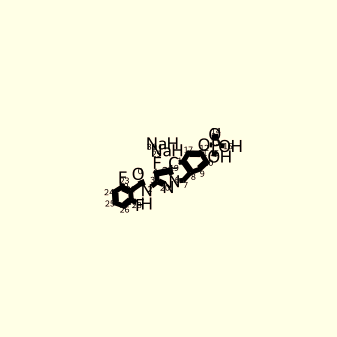 O=C(Nc1ccn(Cc2ccc(OP(=O)(O)O)cc2C(F)(F)F)n1)c1c(F)cccc1F.[NaH].[NaH]